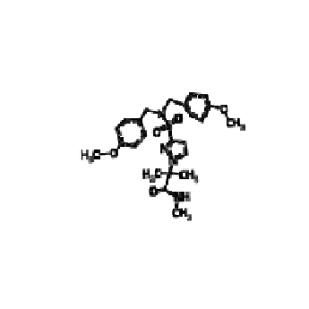 CNC(=O)C(C)(C)n1ccc(S(=O)(=O)N(Cc2ccc(OC)cc2)Cc2ccc(OC)cc2)n1